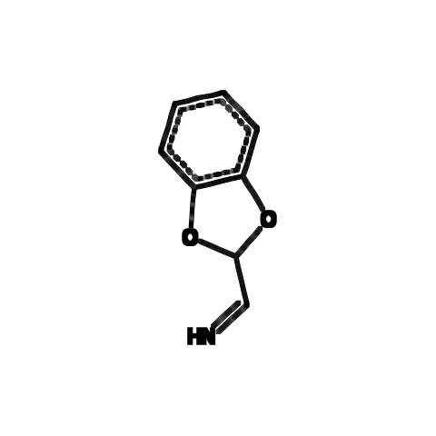 N=CC1Oc2ccccc2O1